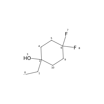 [CH2]CC1(O)CCC(F)(F)CC1